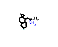 C=C(N)/C=C1\c2ccc(F)cc2CCC12CC2